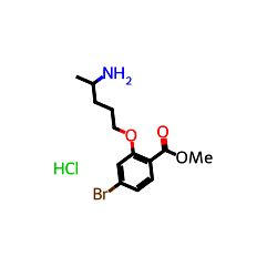 COC(=O)c1ccc(Br)cc1OCCCC(C)N.Cl